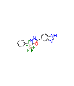 FC(c1ccccc1)S(F)(F)(F)(F)c1nnc(-c2ccc3[nH]cnc3c2)o1